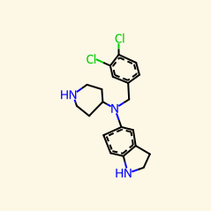 Clc1ccc(CN(c2ccc3c(c2)CCN3)C2CCNCC2)cc1Cl